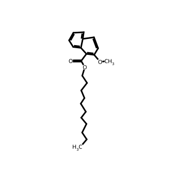 CCCCCCCCCCCOC(=O)c1c(OC)ccc2ccccc12